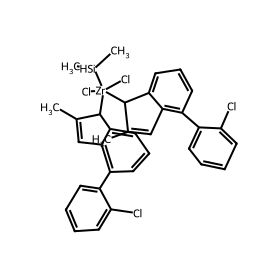 CC1=Cc2c(-c3ccccc3Cl)cccc2[CH]1[Zr]([Cl])([Cl])([CH]1C(C)=Cc2c(-c3ccccc3Cl)cccc21)[SiH](C)C